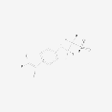 O=S(=O)(F)C(F)(F)C(F)(F)Sc1ccc(C(F)=C(F)F)cc1